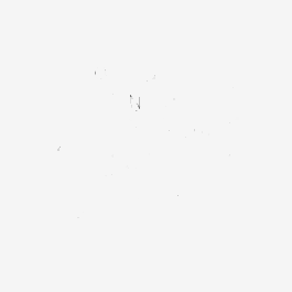 O=C1c2ccccc2C(Cc2ccccc2)(Cc2ccccc2)N1Cc1ccccc1